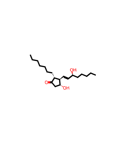 CCCCCCC[C@H]1C(=O)C[C@@H](O)[C@@H]1/C=C/[C@@H](O)CCCCC